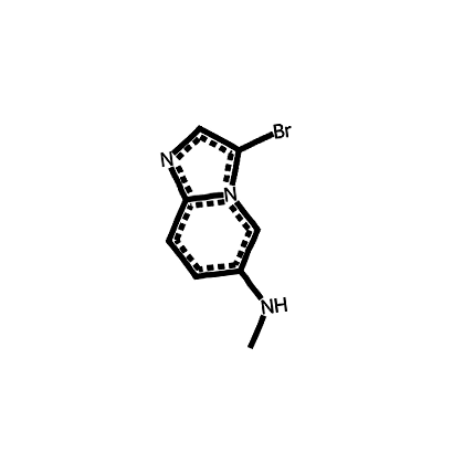 CNc1ccc2ncc(Br)n2c1